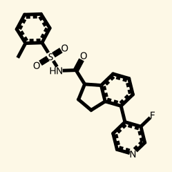 Cc1ccccc1S(=O)(=O)NC(=O)C1CCc2c(-c3ccncc3F)cccc21